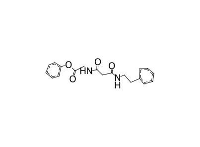 O=C(CC(=O)NCC(=O)Oc1ccccc1)NCCc1ccccc1